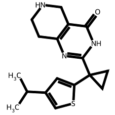 CC(C)c1csc(C2(c3nc4c(c(=O)[nH]3)CNCC4)CC2)c1